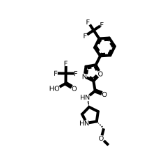 COC[C@H]1C[C@@H](NC(=O)c2ncc(-c3cccc(C(F)(F)F)c3)o2)CN1.O=C(O)C(F)(F)F